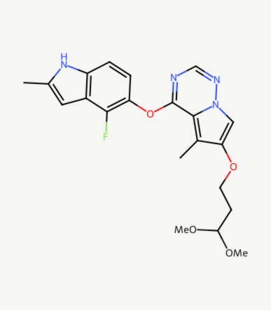 COC(CCOc1cn2ncnc(Oc3ccc4[nH]c(C)cc4c3F)c2c1C)OC